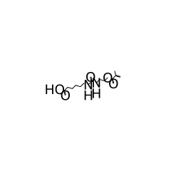 C=C(C)C(=O)OCCNC(=O)NCCCCCC(=O)O